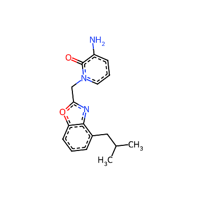 CC(C)Cc1cccc2oc(Cn3cccc(N)c3=O)nc12